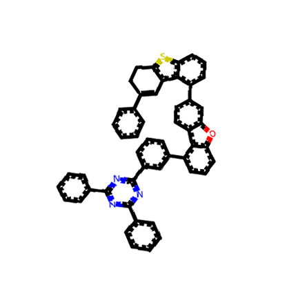 C1=C(c2ccccc2)CCc2sc3cccc(-c4ccc5c(c4)oc4cccc(-c6cccc(-c7nc(-c8ccccc8)nc(-c8ccccc8)n7)c6)c45)c3c21